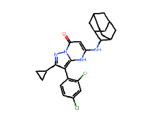 O=c1cc(NC2C3CC4CC(C3)CC2C4)[nH]c2c(-c3ccc(Cl)cc3Cl)c(C3CC3)nn12